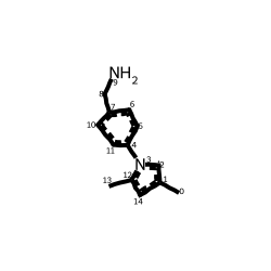 Cc1[c]n(-c2ccc(CN)cc2)c(C)c1